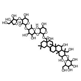 CC1OC(OC2C(OC(=O)C34CCC(C)(C)CC3C3=CCC5C6(C)CC(O)C(OC7OC(CO)C(O)C(O)C7O)C(C)(CO)C6C(O)CC5(C)C3(C)CC4O)OCC(O)C2O)C(O)C(O)C1OC1OCC(O)C(OC2OCC(O)(CO)C2O)C1O